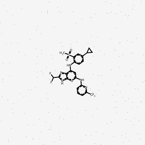 CS(=O)(=O)c1cc(C2CC2)ccc1Nc1cc(Nc2cccc(C(F)(F)F)n2)nc2[nH]c(C(F)F)nc12